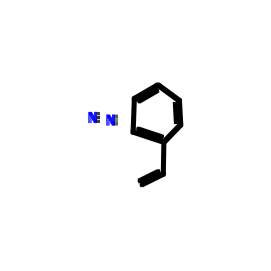 C=Cc1ccccc1.[N].[N]